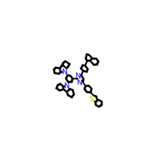 c1ccc2sc(-c3ccc(-c4cc(-c5ccc(-c6cccc7ccccc67)cc5)nc(-c5cc(-n6c7ccccc7c7ccccc76)cc(-n6c7ccccc7c7ccccc76)c5)n4)cc3)cc2c1